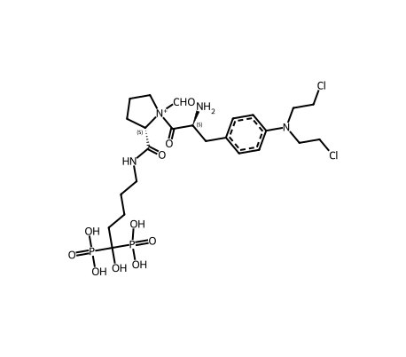 N[C@@H](Cc1ccc(N(CCCl)CCCl)cc1)C(=O)[N+]1(C=O)CCC[C@H]1C(=O)NCCCCC(O)(P(=O)(O)O)P(=O)(O)O